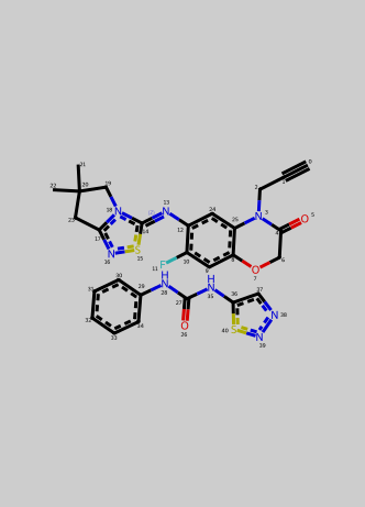 C#CCN1C(=O)COc2cc(F)c(/N=c3\snc4n3CC(C)(C)C4)cc21.O=C(Nc1ccccc1)Nc1cnns1